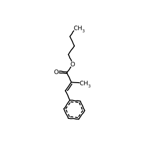 CCCCOC(=O)/C(C)=C/c1ccccc1